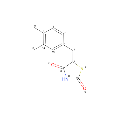 Cc1ccc(CC2SC(=O)NC2=O)cc1C